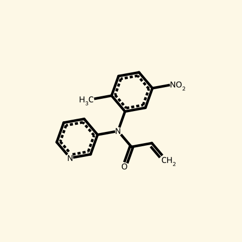 C=CC(=O)N(c1cccnc1)c1cc([N+](=O)[O-])ccc1C